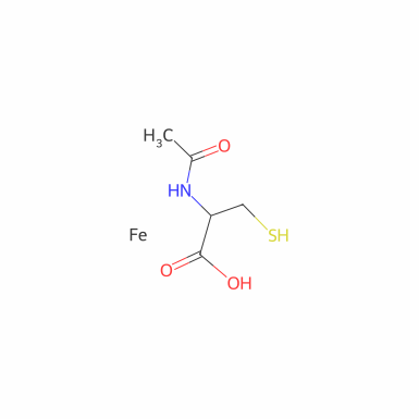 CC(=O)NC(CS)C(=O)O.[Fe]